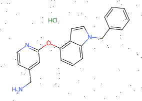 Cl.NCc1ccnc(Oc2cccc3c2ccn3Cc2ccccc2)c1